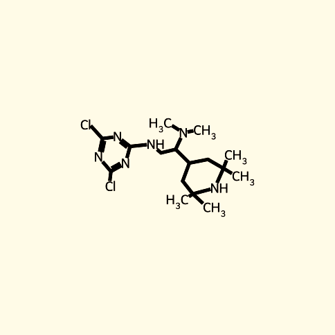 CN(C)C(CNc1nc(Cl)nc(Cl)n1)C1CC(C)(C)NC(C)(C)C1